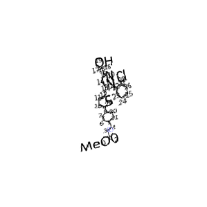 COC(=O)/C=C/c1ccc(-c2ccc(-c3cc(C(C)(C)O)nn3-c3ccccc3Cl)s2)cc1